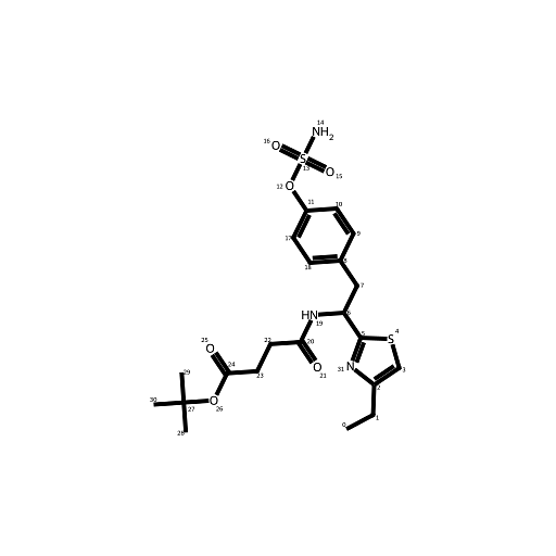 CCc1csc(C(Cc2ccc(OS(N)(=O)=O)cc2)NC(=O)CCC(=O)OC(C)(C)C)n1